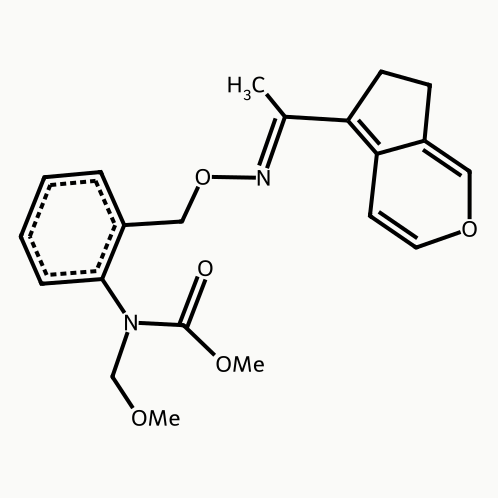 COCN(C(=O)OC)c1ccccc1CON=C(C)C1=C2C=COC=C2CC1